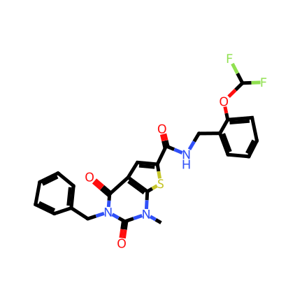 Cn1c(=O)n(Cc2ccccc2)c(=O)c2cc(C(=O)NCc3ccccc3OC(F)F)sc21